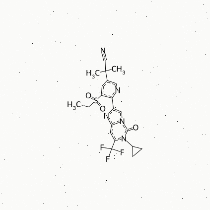 CCS(=O)(=O)c1cc(C(C)(C)C#N)cnc1-c1cn2c(=O)n(C3CC3)c(C(F)(F)F)cc2n1